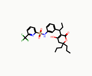 CCCC1(CCC)CC(O)=C(C(CC)c2cccc(NS(=O)(=O)c3cccc(C(F)(F)F)n3)c2)C(=O)O1